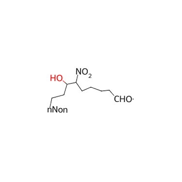 CCCCCCCCCCCC(O)C(CCCC[C]=O)[N+](=O)[O-]